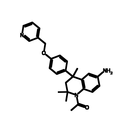 CC(=O)N1c2ccc(N)cc2C(C)(c2ccc(OCc3cccnc3)cc2)CC1(C)C